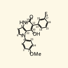 COc1ccc(-n2ccc3[nH]c(=O)c(-c4cccc(F)c4)c(O)c32)cc1